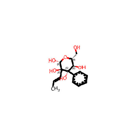 CC=C[C@]1(O)[C@H](O)O[C@H](CO)[C@@H](O)[C@@]1(O)c1ccccc1